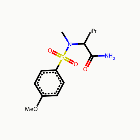 COc1ccc(S(=O)(=O)N(C)C(C(N)=O)C(C)C)cc1